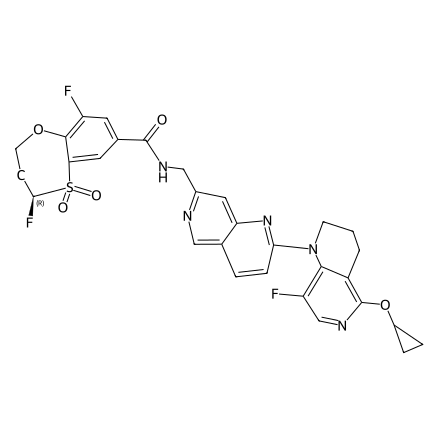 O=C(NCc1cc2nc(N3CCCc4c(OC5CC5)ncc(F)c43)ccc2cn1)c1cc(F)c2c(c1)S(=O)(=O)[C@@H](F)CCO2